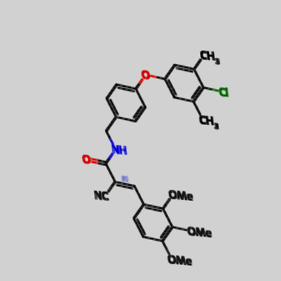 COc1ccc(/C=C(\C#N)C(=O)NCc2ccc(Oc3cc(C)c(Cl)c(C)c3)cc2)c(OC)c1OC